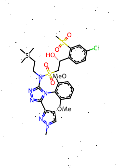 COc1cccc(OC)c1-n1c(-c2ccn(C)n2)nnc1N(CC[Si](C)(C)C)S(=O)(=O)C[C@H](O)c1ccc(Cl)cc1S(C)(=O)=O